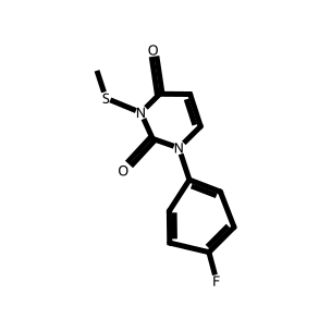 CSn1c(=O)ccn(-c2ccc(F)cc2)c1=O